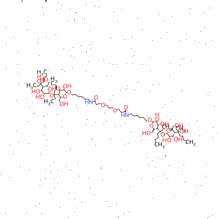 C/C=C\CC(CC)(OC1OC(CO)C(C(O)(CC)CCCC)C(O)C1O)C1C(CO)OC(OCCCCCCNC(=O)CCOCCCOCCC(=O)NCCCCCCOC2OC(CO)C(C(CC)(CCCC)OC3OC(CO)C(C(C)(O)CCCC)C(O)C3O)C(O)C2O)C(O)C1O